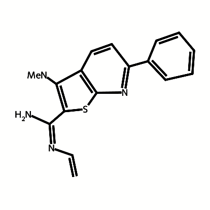 C=C/N=C(/N)c1sc2nc(-c3ccccc3)ccc2c1NC